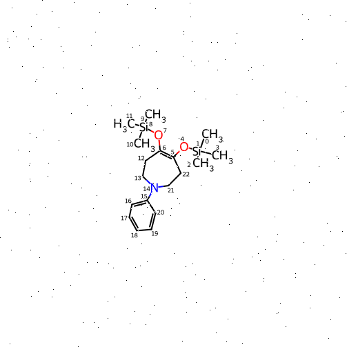 C[Si](C)(C)OC1=C(O[Si](C)(C)C)CCN(c2ccccc2)CC1